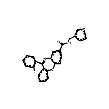 O=C(NCc1cccnc1)c1ccc2c(c1)N=C(c1ccccc1F)c1ccccc1S2